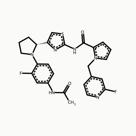 CC(=O)Nc1ccc(N2CCC[C@@H]2c2csc(NC(=O)c3cccn3Cc3ccnc(F)c3)n2)c(F)c1